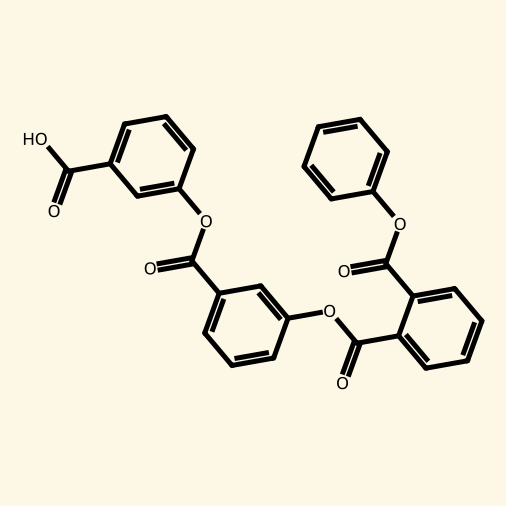 O=C(O)c1cccc(OC(=O)c2cccc(OC(=O)c3ccccc3C(=O)Oc3ccccc3)c2)c1